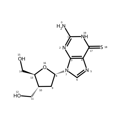 Nc1nc2c(ncn2[C@@H]2C[C@H](CO)[C@@H](CO)O2)c(=S)[nH]1